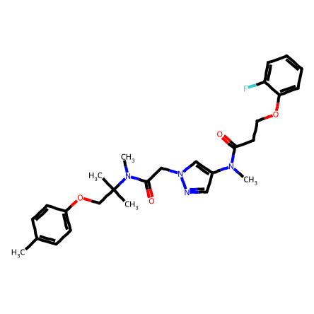 Cc1ccc(OCC(C)(C)N(C)C(=O)Cn2cc(N(C)C(=O)CCOc3ccccc3F)cn2)cc1